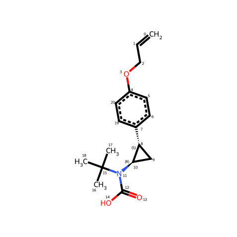 C=CCOc1ccc([C@@H]2C[C@H]2N(C(=O)O)C(C)(C)C)cc1